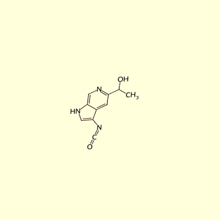 CC(O)c1cc2c(N=C=O)c[nH]c2cn1